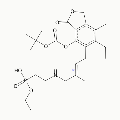 CCOP(=O)(O)CCNC/C(C)=C/Cc1c(CC)c(C)c2c(c1OC(=O)OC(C)(C)C)C(=O)OC2